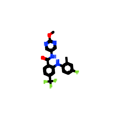 COc1ncc(NC(=O)c2ccc(C(F)(F)F)cc2Nc2ccc(F)cc2C)cn1